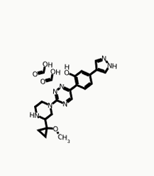 COC1(C2CN(c3ncc(-c4ccc(-c5cn[nH]c5)cc4O)nn3)CCN2)CC1.O=CO.O=CO